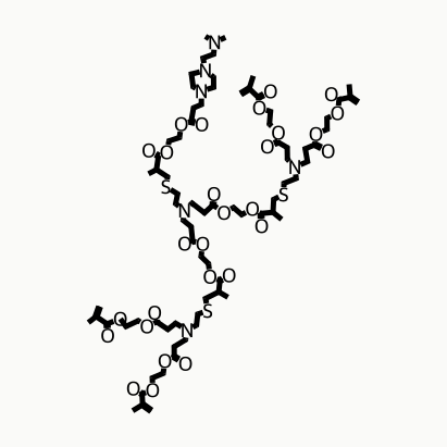 C=C(C)C(=O)OCCOC(=O)CCN(CCSCC(C)C(=O)OCCOC(=O)CCN(CCSCC(C)C(=O)OCCOC(=O)CCN1CCN(CCN(C)C)CC1)CCC(=O)OCCOC(=O)C(C)CSCCN(CCC(=O)OCCOC(=O)C(=C)C)CCC(=O)OCCOC(=O)C(=C)C)CCC(=O)OCCOC(=O)C(=C)C